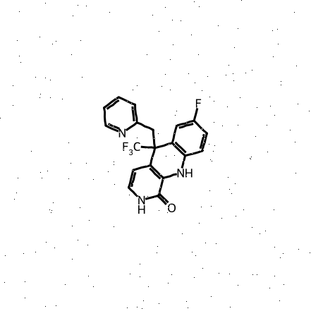 O=c1[nH]ccc2c1Nc1ccc(F)cc1C2(Cc1ccccn1)C(F)(F)F